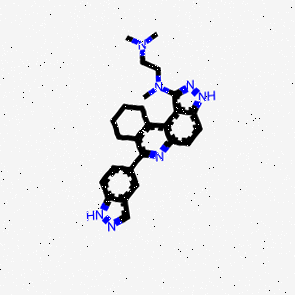 CN(C)CCN(C)c1n[nH]c2ccc3nc(-c4ccc5[nH]ncc5c4)c4c(c3c12)CCCC4